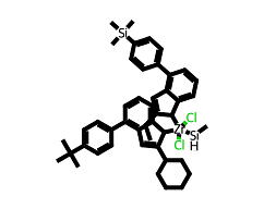 CCC1=Cc2c(-c3ccc([Si](C)(C)C)cc3)cccc2[CH]1[Zr]([Cl])([Cl])([CH]1C(C2CCCCC2)=Cc2c(-c3ccc(C(C)(C)C)cc3)cccc21)[SiH](C)C